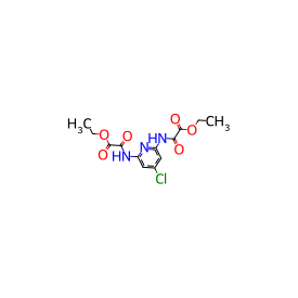 CCOC(=O)C(=O)Nc1cc(Cl)cc(NC(=O)C(=O)OCC)n1